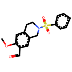 COc1cc2c(cc1C=O)CN(S(=O)(=O)c1ccccc1)CC2